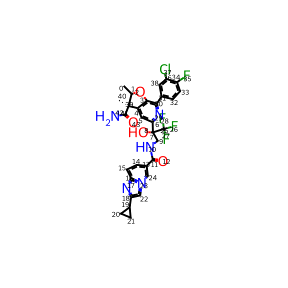 CC1Oc2c(cc(C(O)(CNC(=O)c3ccc4nc(C5CC5)cn4c3)C(F)(F)F)nc2-c2ccc(F)c(Cl)c2)[C@@]1(C)C(N)=O